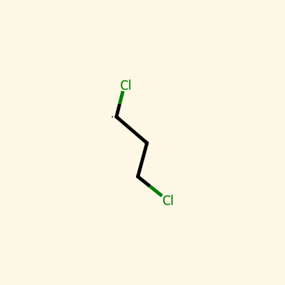 Cl[CH]CCCl